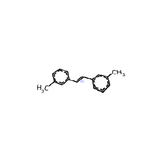 Cc1cccc(/C=C/c2cccc(C)c2)c1